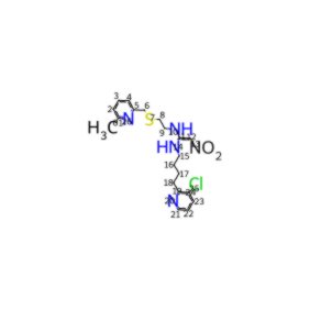 Cc1cccc(CSCCNC(=C[N+](=O)[O-])NCCCCc2ncccc2Cl)n1